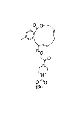 Cc1cc(C)c2c(c1)CC(=N/OCC(=O)N1CCN(C(=O)OC(C)(C)C)CC1)/C=C/CC/C=C/CCOC2=O